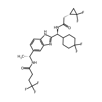 C[C@@H](NC(=O)CCC(F)(F)F)c1ccc2[nH]c([C@@H](NC(=O)C[C@@H]3CC3(F)F)C3CCC(F)(F)CC3)nc2c1